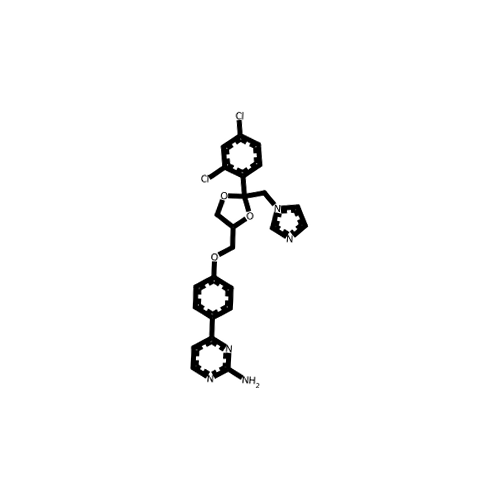 Nc1nccc(-c2ccc(OCC3COC(Cn4ccnc4)(c4ccc(Cl)cc4Cl)O3)cc2)n1